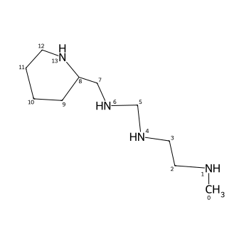 CNCCNCNCC1CCCCN1